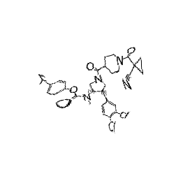 CN(C(=O)Oc1ccc(F)cc1)[C@@H]1CN(C(=O)C2CCN(C(=O)C3(C#N)CC3)CC2)C[C@H]1c1ccc(Cl)c(Cl)c1